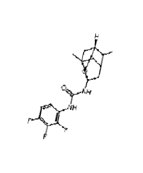 CC1C2CC3(C)C[C@H]1CC(NC(=O)Nc1ccc(F)c(F)c1F)(C2)O3